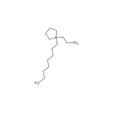 CCCCCCCC[N+]1(CCC)CCCC1